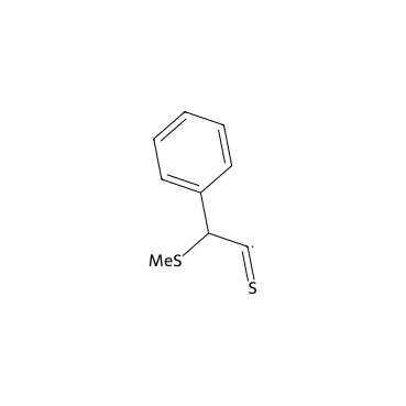 CSC([C]=S)c1ccccc1